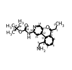 CCC(=O)c1cccc(CN)c1-c1ccnc(NC(=O)OC(C)(C)C)c1